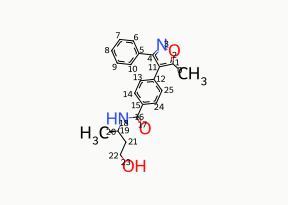 Cc1onc(-c2ccccc2)c1-c1ccc(C(=O)N[C@H](C)CCO)cc1